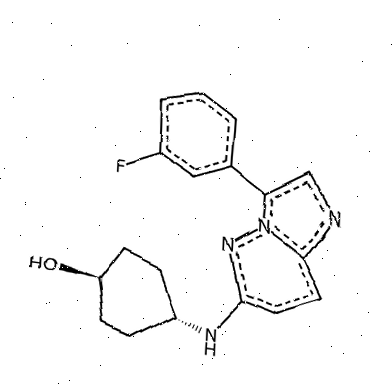 O[C@H]1CC[C@H](Nc2ccc3ncc(-c4cccc(F)c4)n3n2)CC1